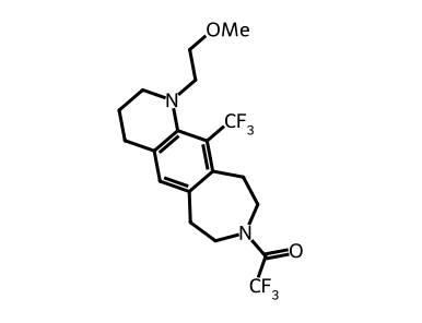 COCCN1CCCc2cc3c(c(C(F)(F)F)c21)CCN(C(=O)C(F)(F)F)CC3